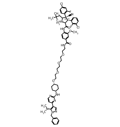 COc1cc(C(=O)NCCOCCOCCOCCO[C@H]2CC[C@H](Nc3nccc(-c4cnn(Cc5ccccc5)c4N(C)C)n3)CC2)ccc1NC(=O)C1NC(CC(C)(C)C)[C@](C#N)(c2ccc(Cl)cc2F)[C@H]1c1cccc(Cl)c1F